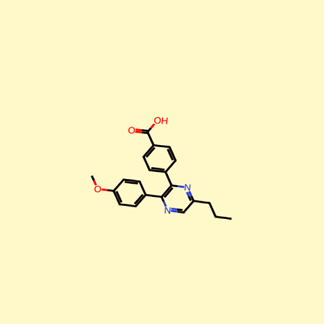 CCCc1cnc(-c2ccc(OC)cc2)c(-c2ccc(C(=O)O)cc2)n1